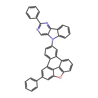 c1ccc(-c2cc3oc4cccc5c6cc(-n7c8ccccc8c8nc(-c9ccccc9)ncc87)ccc6c(c2)c3c45)cc1